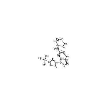 FC(F)(F)c1ccc(-c2cnc3ccc(NC4CCCOC4)nn23)s1